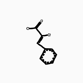 O=C(Cl)C(Cl)=Cc1ccccc1